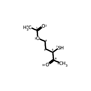 CC(=O)OCCC(S)C(C)=O